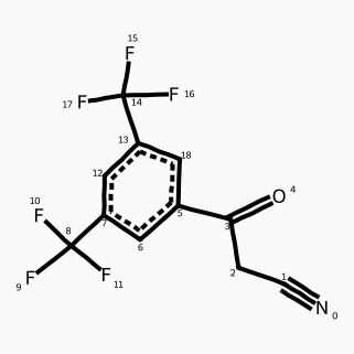 N#CCC(=O)c1cc(C(F)(F)F)cc(C(F)(F)F)c1